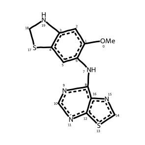 COc1cc2c(cc1Nc1ncnc3scnc13)SCN2